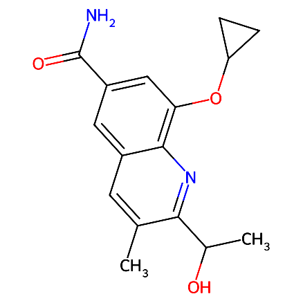 Cc1cc2cc(C(N)=O)cc(OC3CC3)c2nc1C(C)O